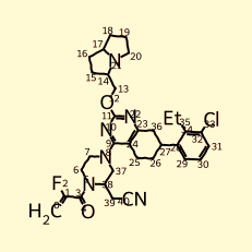 C=C(F)C(=O)N1CCN(c2nc(OCC3CCC4CCCN43)nc3c2CCC(c2cccc(Cl)c2CC)C3)CC1CC#N